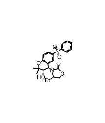 CC[C@@H]1COC(=O)N1[C@H]1c2cc(S(=O)(=O)c3ccccc3)ccc2OC(C)(C)[C@@H]1O